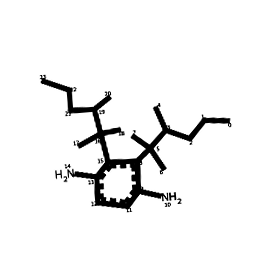 CCCC(C)C(C)(C)c1c(N)ccc(N)c1C(C)(C)C(C)CCC